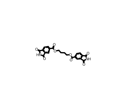 O=C(OCCCCOC(=O)c1ccc2c(c1)C(=O)NC2=O)c1ccc2c(c1)C(=O)NC2=O